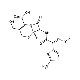 CON=C(C(=O)NC1C(=O)N2C(C(=O)O)=C(CO)CS[C@@H]12)c1csc(N)n1